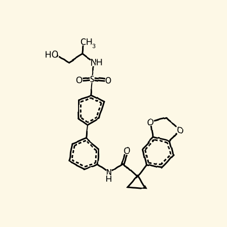 CC(CO)NS(=O)(=O)c1ccc(-c2cccc(NC(=O)C3(c4ccc5c(c4)OCO5)CC3)c2)cc1